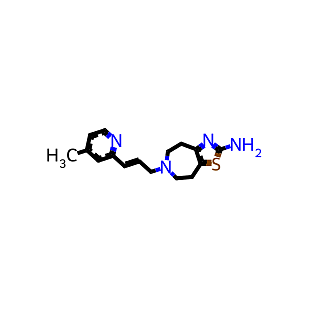 Cc1ccnc(/C=C/CN2CCc3nc(N)sc3CC2)c1